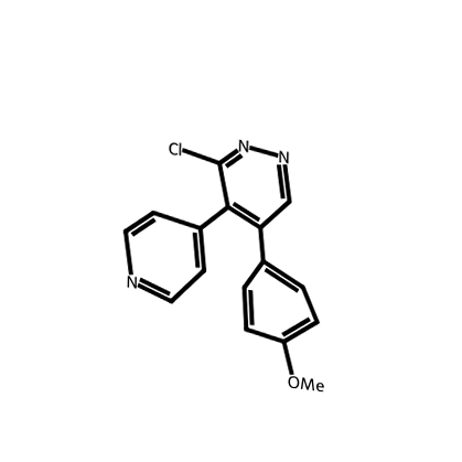 COc1ccc(-c2cnnc(Cl)c2-c2ccncc2)cc1